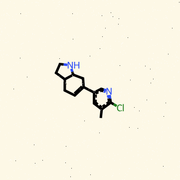 Cc1cc(C2=CCC3CCNC3C2)cnc1Cl